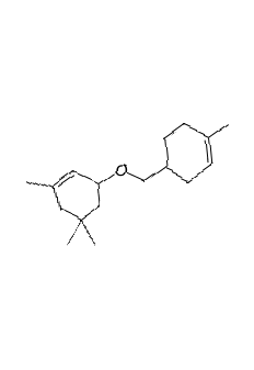 CC1=CCC(COC2C=C(C)CC(C)(C)C2)CC1